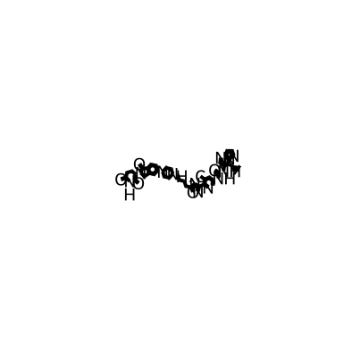 Cc1cc(NC(=O)Nc2cnc3ccnn3c2C2CC2)cnc1-c1noc(CCCCN2CCN(c3ccc4c(c3)CN(C3CCC(=O)NC3=O)C4=O)CC2)n1